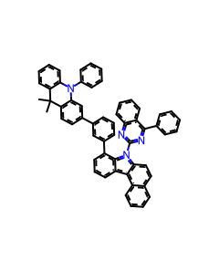 CC1(C)c2ccccc2N(c2ccccc2)c2cc(-c3cccc(-c4cccc5c6c7ccccc7ccc6n(-c6nc(-c7ccccc7)c7ccccc7n6)c45)c3)ccc21